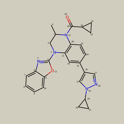 CC1CN(c2nc3ccccc3o2)c2cc(-c3cnn(C4CC4)c3)ccc2N1C(=O)C1CC1